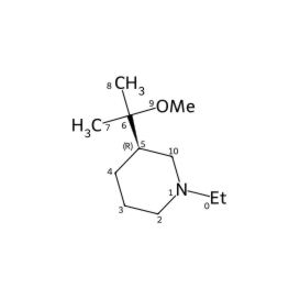 [CH2]CN1CCC[C@@H](C(C)(C)OC)C1